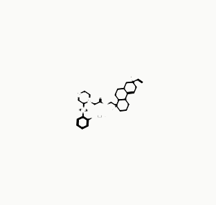 C=C[C@]1(C)CC=C2C(CCC3[C@@](C)(COC(=O)CN4CCNCC4S(=O)(=O)c4ccccc4OC)CCC[C@]23C)C1